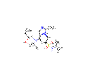 CCOC(=O)c1ncc2c(N3C[C@H](COC)OC[C@@H]3CC)cc(S(=O)(=O)NC3(C)CC3)cn12